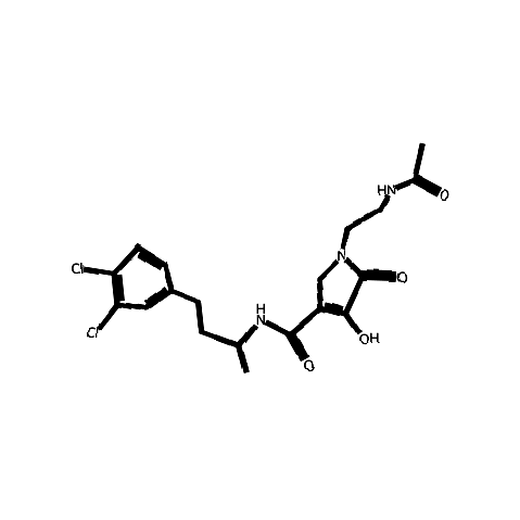 CC(=O)NCCN1CC(C(=O)NC(C)CCc2ccc(Cl)c(Cl)c2)=C(O)C1=O